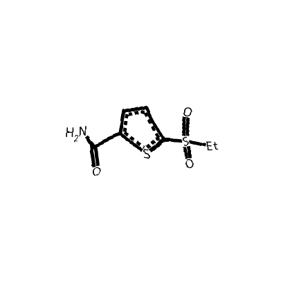 CCS(=O)(=O)c1ccc(C(N)=O)s1